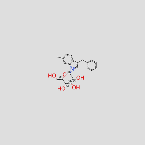 Cc1ccc2c(Cc3ccccc3)cn([C@@H]3O[C@H](CO)[C@@H](O)[C@H](O)[C@H]3O)c2c1